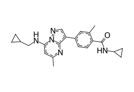 Cc1cc(NCC2CC2)n2ncc(-c3ccc(C(=O)NC4CC4)c(C)c3)c2n1